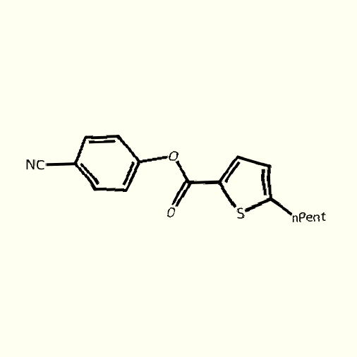 CCCCCc1ccc(C(=O)Oc2ccc(C#N)cc2)s1